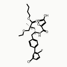 CCCCOC(=O)[C@](C)(COCC)C[C@@H](Cc1ccc(-c2cc(Cl)ccc2F)cc1)NC(=O)c1cc(O)no1